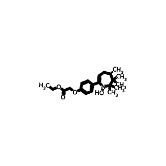 CCOC(=O)COc1ccc(C2=CC[C@@H](C)C(C)(C)C(C)(C)N2O)cc1